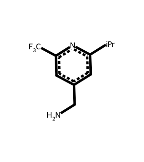 CC(C)c1cc(CN)cc(C(F)(F)F)n1